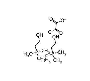 C[P+](C)(C)CCO.C[P+](C)(C)CCO.O=C([O-])C(=O)[O-]